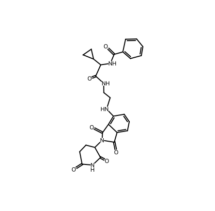 O=C1CCC(N2C(=O)c3cccc(NCCNC(=O)C(NC(=O)c4ccccc4)C4CC4)c3C2=O)C(=O)N1